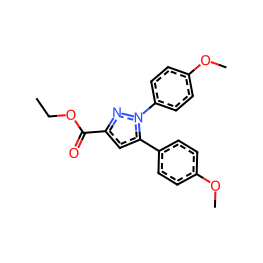 CCOC(=O)c1cc(-c2ccc(OC)cc2)n(-c2ccc(OC)cc2)n1